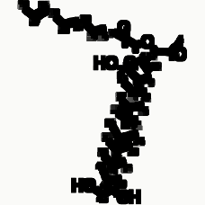 C(OCC1CO1)C1CO1.C=CC.C=CC.C=CC.C=CC.C=CC.C=CC.C=CC.C=CC.C=CC.C=CC.C=CC.C=CC(=O)O.OCCO